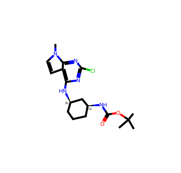 Cn1ccc2c(N[C@@H]3CCC[C@H](NC(=O)OC(C)(C)C)C3)nc(Cl)nc21